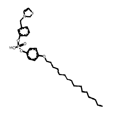 CCCCCCCCCCCCCCCCOc1ccc(OP(=O)(O)Oc2cccc(CN3C=CSC3)c2)cc1